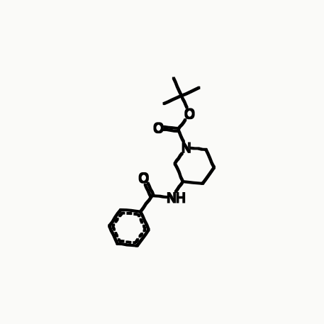 CC(C)(C)OC(=O)N1CCCC(NC(=O)c2ccccc2)C1